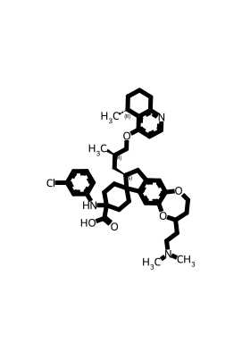 C[C@@H](COc1ccnc2c1[C@H](C)CCC2)C[C@H]1Cc2cc3c(cc2C12CCC(Nc1cccc(Cl)c1)(C(=O)O)CC2)OC(CCN(C)C)CCO3